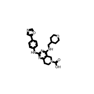 O=C(O)N1CCc2nc(Nc3ccc(-c4cnco4)cc3)nc(NCC3CCOCC3)c2C1